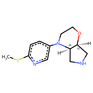 CSc1ccc(N2CCO[C@H]3CNC[C@H]32)cn1